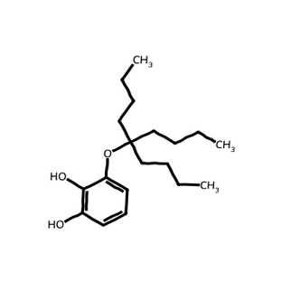 CCCCC(CCCC)(CCCC)Oc1cccc(O)c1O